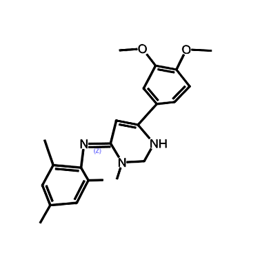 COc1ccc(C2=C/C(=N/c3c(C)cc(C)cc3C)N(C)CN2)cc1OC